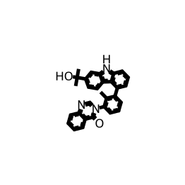 Cc1c(-c2cccc3[nH]c4cc(C(C)(C)O)ccc4c23)cccc1-n1cnc2ccccc2c1=O